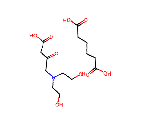 O=C(O)CC(=O)CN(CCO)CCO.O=C(O)CCCCC(=O)O